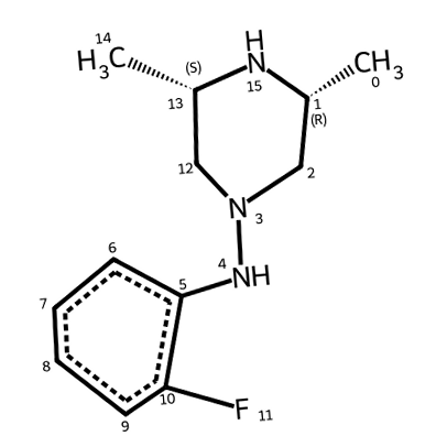 C[C@@H]1CN(Nc2ccccc2F)C[C@H](C)N1